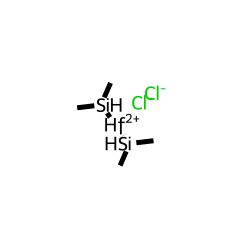 C[SiH](C)[Hf+2][SiH](C)C.[Cl-].[Cl-]